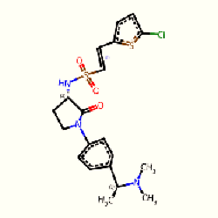 C[C@@H](c1ccc(N2CC[C@H](NS(=O)(=O)/C=C/c3ccc(Cl)s3)C2=O)cc1)N(C)C